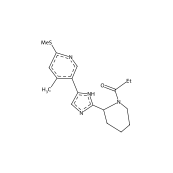 CCC(=O)N1CCCCC1c1ncc(-c2cnc(SC)cc2C)[nH]1